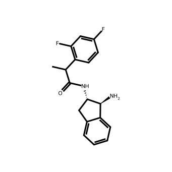 CC(C(=O)N[C@H]1Cc2ccccc2[C@@H]1N)c1ccc(F)cc1F